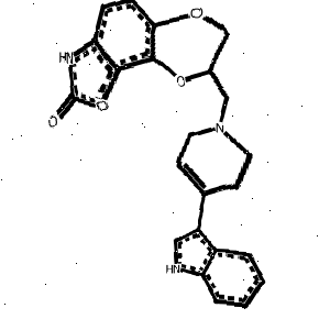 O=c1[nH]c2ccc3c(c2o1)OC(CN1CC=C(c2c[nH]c4ccccc24)CC1)CO3